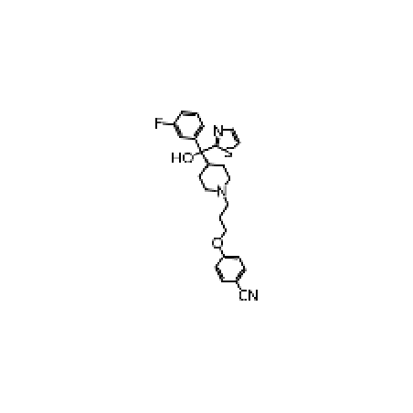 N#Cc1ccc(OCCCN2CCC(C(O)(c3cccc(F)c3)c3nccs3)CC2)cc1